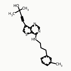 Cc1cccc(CCCNc2ncnc3c(C#CC(C)(C)O)csc23)c1